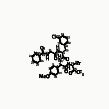 COc1ccc([C@H](NC(=O)[C@H](Cc2cccc(Cl)c2)NC(=O)CNC(=O)c2ccccn2)C(=O)N[C@H](C(=O)C(F)(F)F)C(C)C)cc1